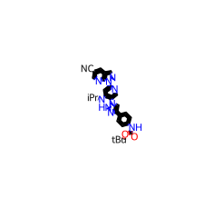 CC(C)Nc1cc(-n2ncc3cc(C#N)cnc32)ncc1-n1cc(C2CCC(NC(=O)OC(C)(C)C)CC2)nn1